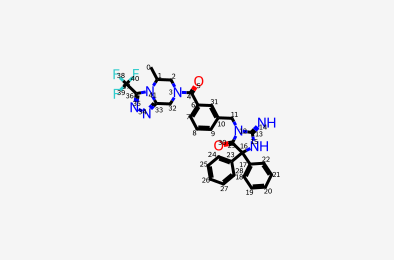 CC1CN(C(=O)c2cccc(CN3C(=N)NC(c4ccccc4)(c4ccccc4)C3=O)c2)Cc2nnc(C(F)(F)F)n21